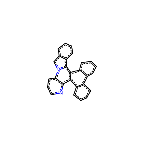 c1ccc2c(c1)cn1c3cccnc3c3c4ccccc4c4ccccc4c3c21